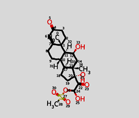 C[C@]12CCC(=O)C=C1CC[C@@H]1[C@@H]2[C@@H](O)C[C@@]2(C)[C@H]1CC[C@]2(O)C(=O)C(O)OS(C)(=O)=O